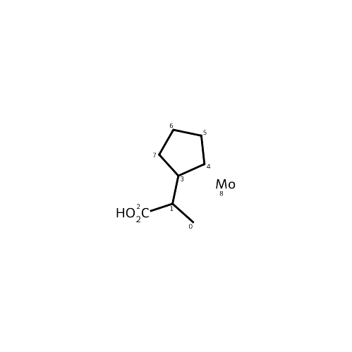 CC(C(=O)O)C1CCCC1.[Mo]